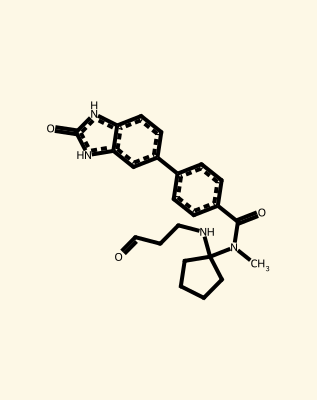 CN(C(=O)c1ccc(-c2ccc3[nH]c(=O)[nH]c3c2)cc1)C1(NCCC=O)CCCC1